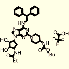 CCC(=O)N[C@H]1C[C@@H](n2cnc3c(NCC(c4ccccc4)c4ccccc4)nc(N4CCC(NC(=O)OC(C)(C)C)CC4)nc32)[C@H](O)[C@@H]1O.O=C(O)C(F)(F)F